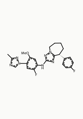 COc1cc(Nc2nc3n(n2)CCCC[C@@H]3c2ccc(F)cc2)c(F)cc1-n1cnc(C)n1